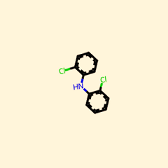 Clc1ccccc1Nc1ccccc1Cl